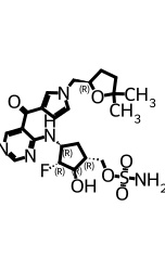 CC1(C)CC[C@H](Cn2ccc(C(=O)c3cncnc3N[C@@H]3C[C@H](COS(N)(=O)=O)[C@@H](O)[C@@H]3F)c2)O1